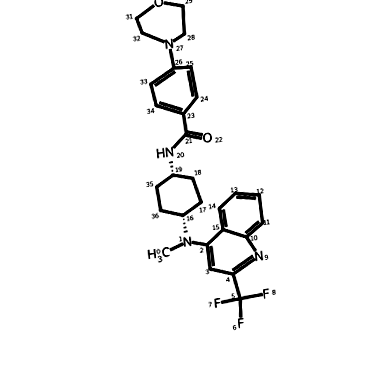 CN(c1cc(C(F)(F)F)nc2ccccc12)[C@H]1CC[C@@H](NC(=O)c2ccc(N3CCOCC3)cc2)CC1